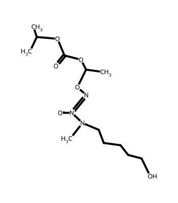 CC(C)OC(=O)OC(C)ON=[N+]([O-])N(C)CCCCCO